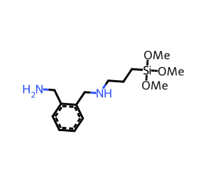 CO[Si](CCCNCc1ccccc1CN)(OC)OC